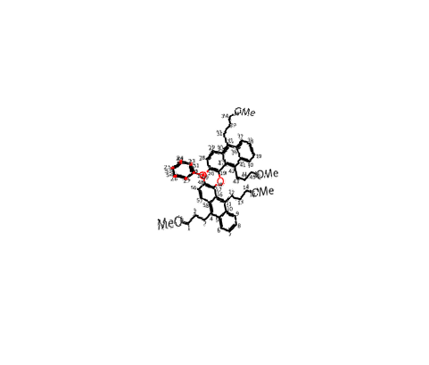 COCCCc1c2ccccc2c(CCCOC)c2c(Oc3c(Oc4ccccc4)ccc4c(CCCOC)c5ccccc5c(CCCOC)c34)c(Oc3ccccc3)ccc12